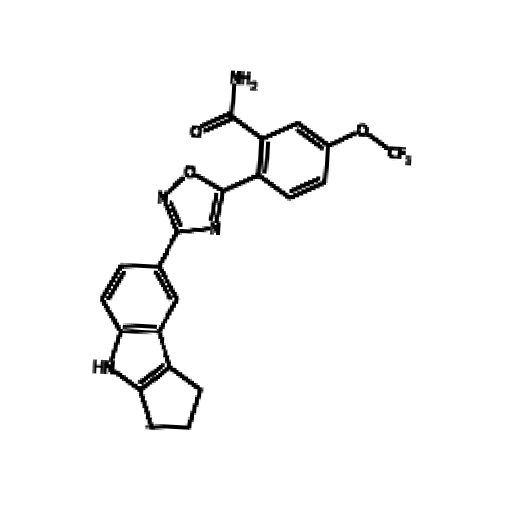 NC(=O)c1cc(OC(F)(F)F)ccc1-c1nc(-c2ccc3[nH]c4c(c3c2)CC[CH]4)no1